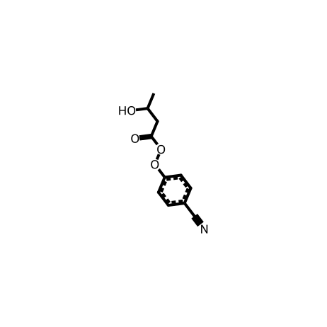 CC(O)CC(=O)OOc1ccc(C#N)cc1